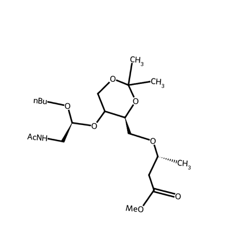 CCCCO[C@H](CNC(C)=O)OC1COC(C)(C)O[C@H]1CO[C@H](C)CC(=O)OC